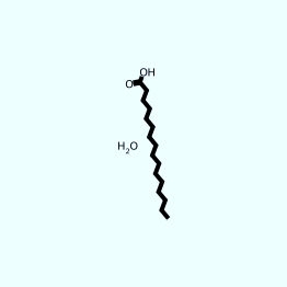 CCCCCCCCCCCCCCCC(=O)O.O